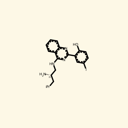 CC(C)C[C@H](N)CNc1nc(-c2cc(I)ccc2O)nc2ccccc12